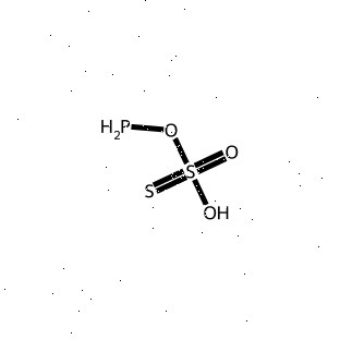 O=S(O)(=S)OP